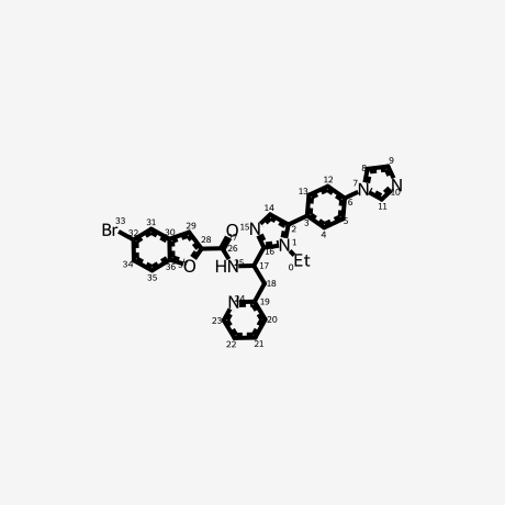 CCn1c(-c2ccc(-n3ccnc3)cc2)cnc1C(Cc1ccccn1)NC(=O)c1cc2cc(Br)ccc2o1